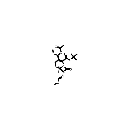 CSC=N[C@H]1C(=O)N2C(C(=O)OC(C)(C)C)=C(C(OC(C)=O)SC)CS[C@H]12